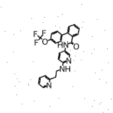 O=C(Nc1ccc(NCCc2ccccn2)nc1)c1ccccc1-c1ccc(OC(F)(F)F)cc1